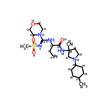 CC(C)CC(NC(=NS(C)(=O)=O)N1CCOCC1)C(=O)NC1(C#N)CCN(C2CCC(C)CC2)C1